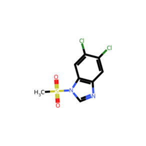 CS(=O)(=O)n1cnc2cc(Cl)c(Cl)cc21